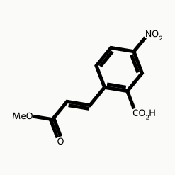 COC(=O)C=Cc1ccc([N+](=O)[O-])cc1C(=O)O